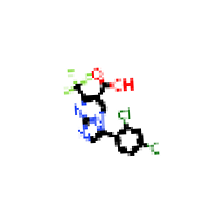 O=C(O)c1cn2c(-c3ccc(Cl)cc3Cl)cnc2nc1C(F)(F)F